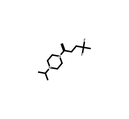 C=C(CCC(C)(F)F)N1CCN(C(C)C)CC1